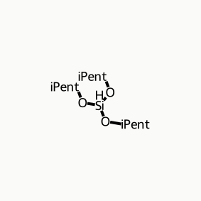 CCCC(C)O[SiH](OC(C)CCC)OC(C)CCC